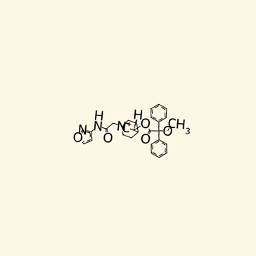 COC(C(=O)O[C@H]1C[N+]2(CC(=O)Nc3ccon3)CCC1CC2)(c1ccccc1)c1ccccc1